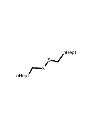 CCCCCCCCSSCCCCCCCC